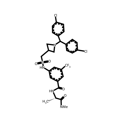 CNC(=O)[C@H](C)NC(=O)c1cc(NS(=O)(=O)CC2CN(C(c3ccc(Cl)cc3)c3ccc(Cl)cc3)C2)cc(C(F)(F)F)c1